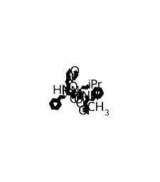 CC(C)CC[C@H](NC(=O)[C@H](CCc1ccccc1)NC(=O)CN1CCOCC1)C(=O)N[C@@H](Cc1ccccc1)C(=O)[C@@]1(C)CO1